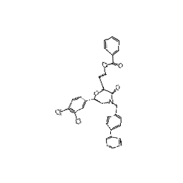 O=C(OCCC1OC(c2ccc(Cl)c(Cl)c2)CN(Cc2ccc(-c3ccccc3)cc2)C1=O)c1ccccc1